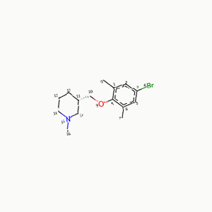 Cc1cc(Br)cc(C)c1OC[C@H]1CCCN(C)C1